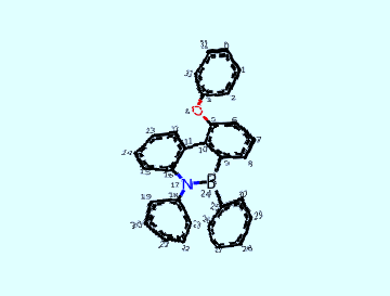 c1ccc(Oc2cccc3c2-c2ccccc2N(c2ccccc2)B3c2ccccc2)cc1